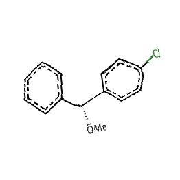 CO[C@H](c1ccccc1)c1ccc(Cl)cc1